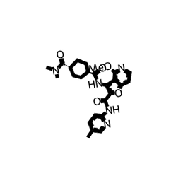 COc1nccc2oc(C(=O)Nc3ccc(C)cn3)c(NC(=O)[C@H]3CC[C@H](C(=O)N(C)C)CC3)c12